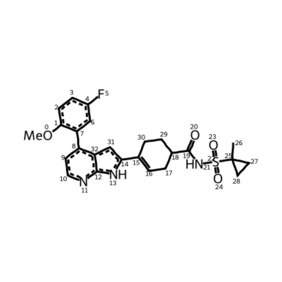 COc1ccc(F)cc1-c1ccnc2[nH]c(C3=CCC(C(=O)NS(=O)(=O)C4(C)CC4)CC3)cc12